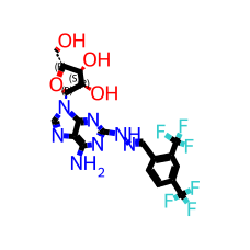 Nc1nc(NN=Cc2ccc(C(F)(F)F)cc2C(F)(F)F)nc2c1ncn2[C@@H]1O[C@H](CO)[C@@H](O)[C@H]1O